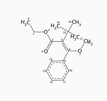 CCOC(=O)/C(=C(/OC)c1ccccc1)C(C)(C)C